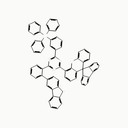 c1ccc([Si](c2ccccc2)(c2ccccc2)c2cccc(-c3nc(-c4ccccc4-c4ccc5c(c4)-c4ccccc4C5)nc(-c4cccc5c4Oc4ccccc4C54c5ccccc5-c5ccccc54)n3)c2)cc1